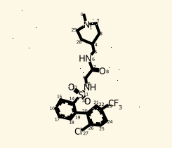 CN1CCC(CNC(=O)CNS(=O)(=O)c2ccccc2-c2cc(C(F)(F)F)ccc2Cl)CC1